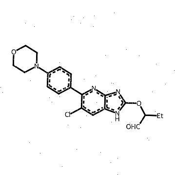 CCC(C=O)Oc1nc2nc(-c3ccc(N4CCOCC4)cc3)c(Cl)cc2[nH]1